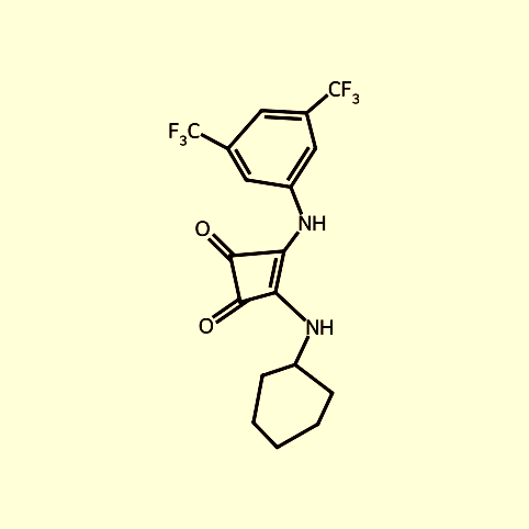 O=c1c(Nc2cc(C(F)(F)F)cc(C(F)(F)F)c2)c(NC2CCCCC2)c1=O